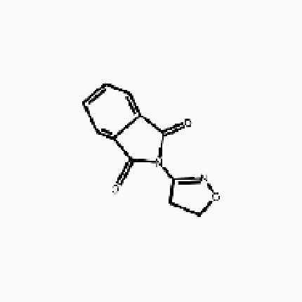 O=C1c2ccccc2C(=O)N1C1=NOCC1